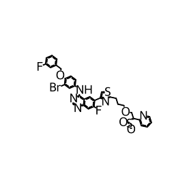 O=S(=O)=C(COCCCc1nc(-c2cc3c(Nc4ccc(OCc5cccc(F)c5)c(Br)c4)ncnc3cc2F)cs1)c1ccccn1